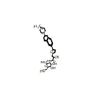 CN1CCN(c2ccc3cc(-c4ccc(/C=C(\C#N)C(=O)N[C@H]5C(O)O[C@H](CO)[C@@H](O)[C@@H]5O)o4)ccc3c2)CC1